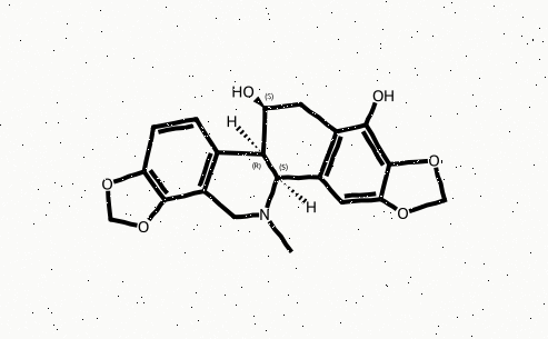 CN1Cc2c(ccc3c2OCO3)[C@@H]2[C@H]1c1cc3c(c(O)c1C[C@@H]2O)OCO3